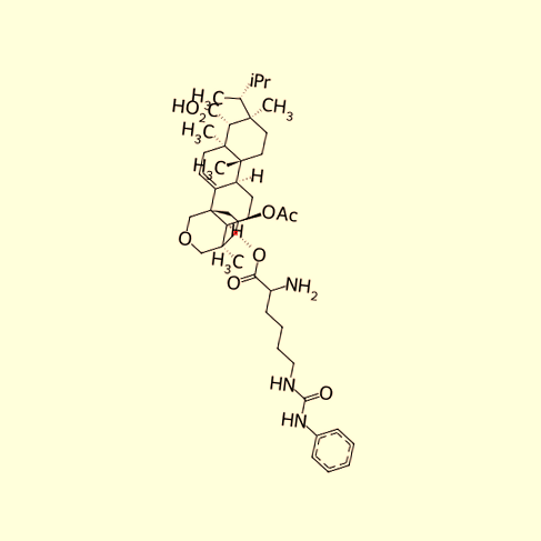 CC(=O)O[C@@H]1C[C@]23COC[C@@](C)([C@@H]2CC[C@H]2C3=CC[C@@]3(C)[C@H](C(=O)O)[C@@](C)([C@H](C)C(C)C)CC[C@]23C)[C@H]1OC(=O)C(N)CCCCNC(=O)Nc1ccccc1